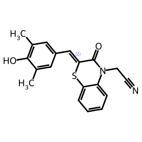 Cc1cc(/C=C2\Sc3ccccc3N(CC#N)C2=O)cc(C)c1O